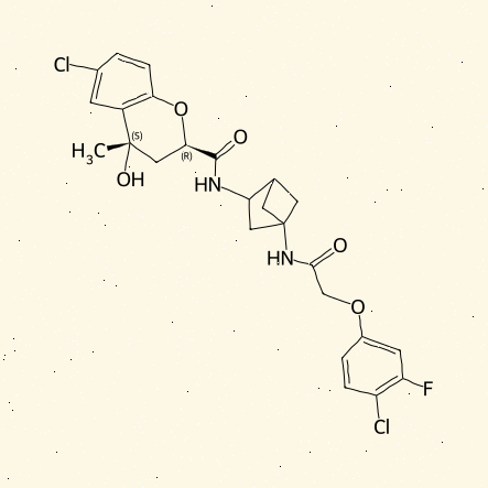 C[C@]1(O)C[C@H](C(=O)NC2CC3(NC(=O)COc4ccc(Cl)c(F)c4)CC2C3)Oc2ccc(Cl)cc21